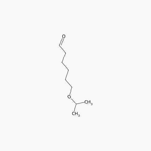 CC(C)OCCCCCC=O